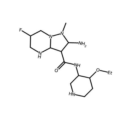 CCOC1CCNCC1NC(=O)C1C(N)N(C)N2CC(F)CNC12